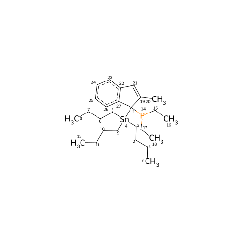 CCC[CH2][Sn]([CH2]CCC)([CH2]CCC)[C]1(P(CC)CC)C(C)=Cc2ccccc21